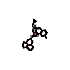 Cc1ccc2c(c1)[C@]13CCN(CC4CC4)[C@H](C2)[C@]12CC[C@@](N(Cc1ccccc1)Cc1ccccc1)(CO2)C3